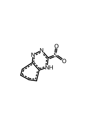 O=S(=O)=c1nnc2ccccc2[nH]1